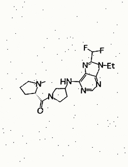 CCn1c(C(F)F)nc2c(NC3CCN(C(=O)[C@@H]4CCCN4C)C3)ncnc21